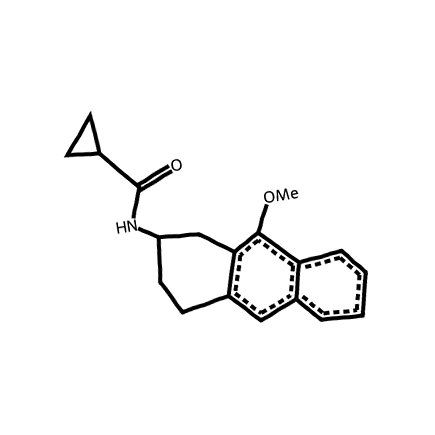 COc1c2c(cc3ccccc13)CCC(NC(=O)C1CC1)C2